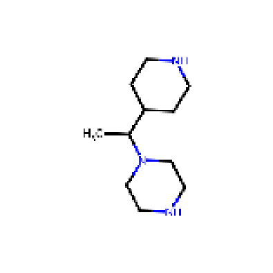 CC(C1CCNCC1)N1CCNCC1